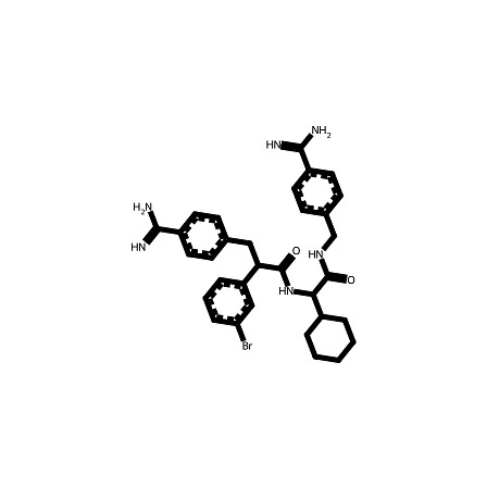 N=C(N)c1ccc(CNC(=O)C(NC(=O)C(Cc2ccc(C(=N)N)cc2)c2cccc(Br)c2)C2CCCCC2)cc1